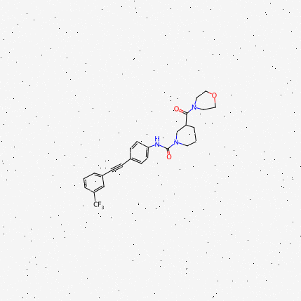 O=C(Nc1ccc(C#Cc2cccc(C(F)(F)F)c2)cc1)N1CCCC(C(=O)N2CCOCC2)C1